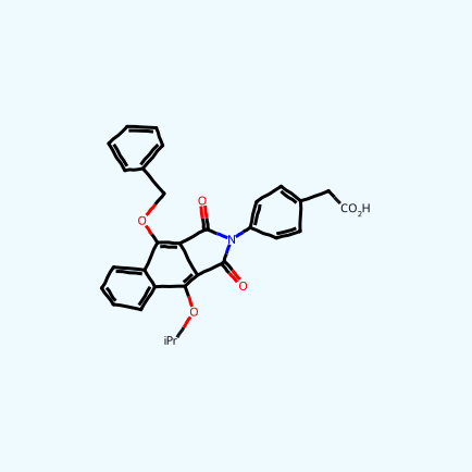 CC(C)Oc1c2c(c(OCc3ccccc3)c3ccccc13)C(=O)N(c1ccc(CC(=O)O)cc1)C2=O